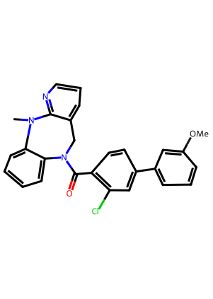 COc1cccc(-c2ccc(C(=O)N3Cc4cccnc4N(C)c4ccccc43)c(Cl)c2)c1